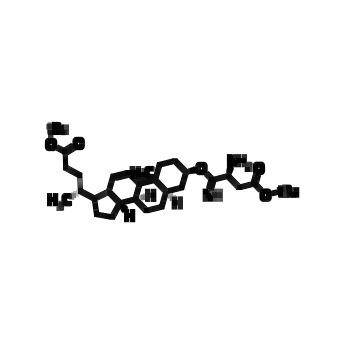 C[C@H](CCC(=O)OC(C)(C)C)C1CC[C@@H]2C1C=C[C@H]1[C@H]2CC[C@@H]2C[C@H](OC(=N)[C@@H](N)CC(=O)OC(C)(C)C)CC[C@@]21C